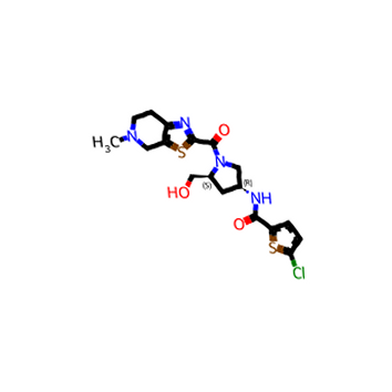 CN1CCc2nc(C(=O)N3C[C@H](NC(=O)c4ccc(Cl)s4)C[C@H]3CO)sc2C1